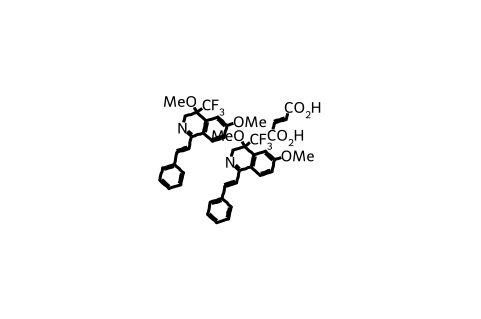 COc1ccc2c(c1)C(OC)(C(F)(F)F)CN=C2C=Cc1ccccc1.COc1ccc2c(c1)C(OC)(C(F)(F)F)CN=C2C=Cc1ccccc1.O=C(O)C=CC(=O)O